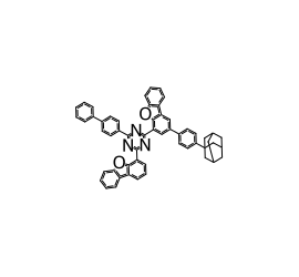 c1ccc(-c2ccc(-c3nc(-c4cccc5c4oc4ccccc45)nc(-c4cc(-c5ccc(C67CC8CC(CC(C8)C6)C7)cc5)cc5c4oc4ccccc45)n3)cc2)cc1